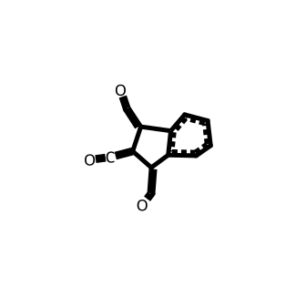 O=C=C1C(=C=O)c2ccccc2C1=C=O